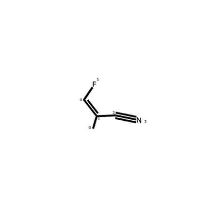 CC(C#N)=CF